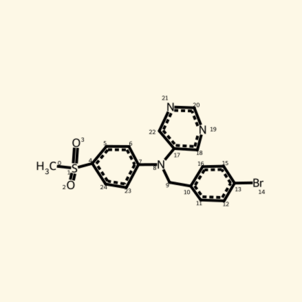 CS(=O)(=O)c1ccc(N(Cc2ccc(Br)cc2)c2cncnc2)cc1